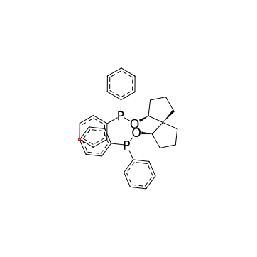 c1ccc(P(O[C@H]2CCC[C@]23CCC[C@H]3OP(c2ccccc2)c2ccccc2)c2ccccc2)cc1